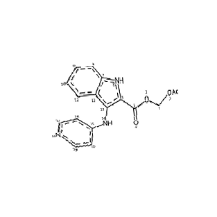 CC(=O)OCOC(=O)c1[nH]c2ccccc2c1Nc1ccncc1